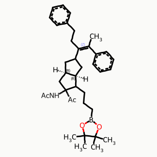 CC(=O)NC1(C(C)=O)C[C@H]2CC(/C(CCc3ccccc3)=C(/C)c3ccccc3)C[C@H]2C1CCCB1OC(C)(C)C(C)(C)O1